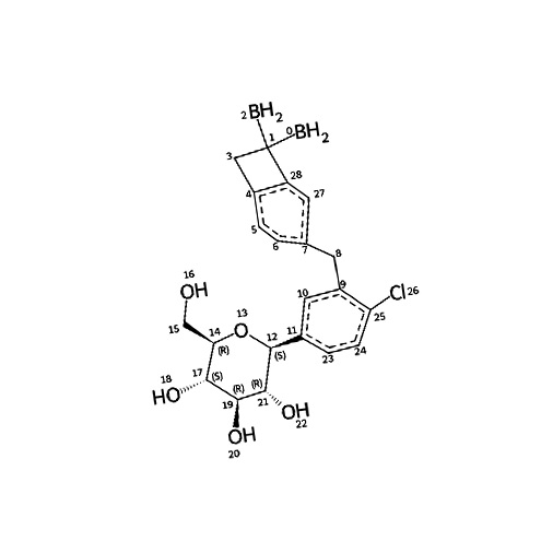 BC1(B)Cc2ccc(Cc3cc([C@@H]4O[C@H](CO)[C@@H](O)[C@H](O)[C@H]4O)ccc3Cl)cc21